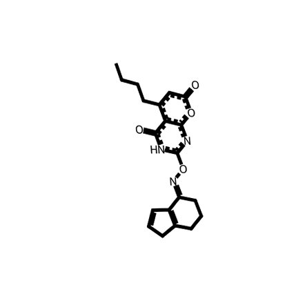 CCCCc1cc(=O)oc2nc(O/N=C3\CCCC4=C3C=CC4)[nH]c(=O)c12